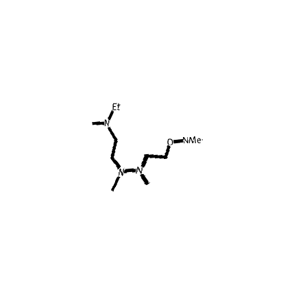 [CH2]CN(C)CCN(C)N(C)CCO[N]C